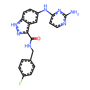 Nc1nccc(Nc2ccc3[nH]nc(C(=O)NCc4ccc(F)cc4)c3c2)n1